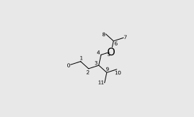 CCCC(COC(C)C)C(C)C